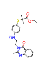 CCOC(=O)C(C)(C)Sc1ccc(NCCn2c(C)nc3ccccc3c2=O)cc1